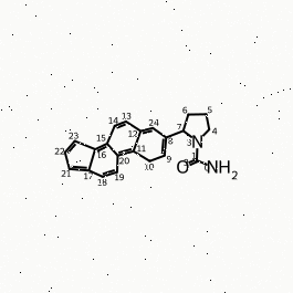 NC(=O)N1CCCC1C1=CCc2c(ccc3c4c(ccc23)=CC=C4)=C1